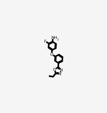 CCc1nnc(-c2cccc(Oc3ccc(N)c(F)c3)c2)o1